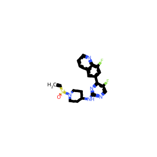 C=C[S+]([O-])N1CCC(Nc2ncc(F)c(-c3cc(F)c4ncccc4c3)n2)CC1